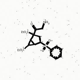 CCOC(=O)C1C2C1C(C(=O)CN)(C(=O)OCC)CC2S(=O)(=O)c1ccccc1